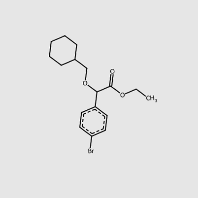 CCOC(=O)C(OCC1CCCCC1)c1ccc(Br)cc1